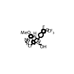 COc1cc(NC(C(=O)C2CCc3cc(F)c(OC(F)(F)F)cc3CC2)c2ccc(Cl)cc2OCCO)cc(-n2cncn2)c1